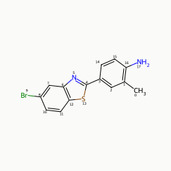 Cc1cc(-c2nc3cc(Br)ccc3s2)ccc1N